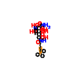 C[C@H]1c2ccc(NC(=O)CCCCCC[PH](c3ccccc3)(c3ccccc3)c3ccccc3)c(O)c2C(=O)C2=C(O)[C@]3(O)C(=O)C(C(N)=O)=C(O)[C@@H](N(C)C)[C@@H]3[C@@H](O)[C@@H]21